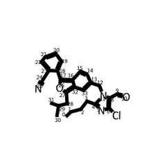 CCCCc1nc(Cl)c(C=O)n1Cc1ccc2c(-c3ccccc3C#N)oc(CC(C)C)c2c1